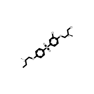 CC[C@H](C)COc1ccc(S(=O)(=O)c2ccc(OC[C@H](C)CCl)c(Cl)c2)cc1